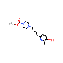 Cc1nc(CCCCN2CCN(C(=O)OC(C)(C)C)CC2)ccc1O